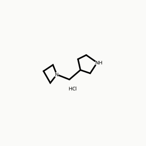 C1CN(CC2CCNC2)C1.Cl